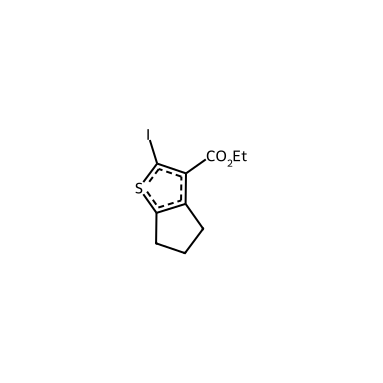 CCOC(=O)c1c(I)sc2c1CCC2